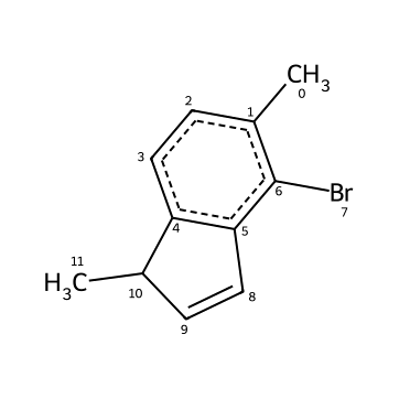 Cc1ccc2c(c1Br)C=CC2C